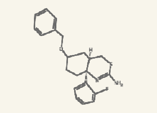 NC1=N[C@@]2(c3ccccc3F)CCC(OCc3ccccc3)C[C@H]2CS1